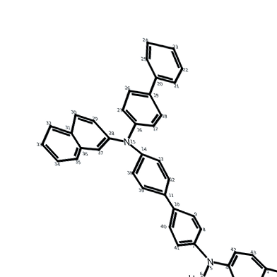 Cc1ccc(N(C)c2ccc(-c3ccc(N(c4ccc(-c5ccccc5)cc4)c4ccc5ccccc5c4)cc3)cc2)cc1